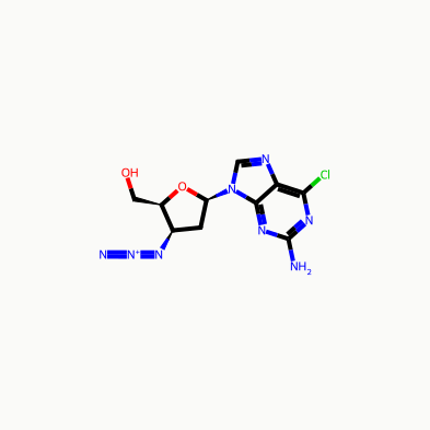 [N-]=[N+]=N[C@@H]1C[C@H](n2cnc3c(Cl)nc(N)nc32)O[C@@H]1CO